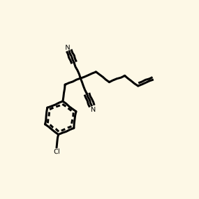 C=CCCCC(C#N)(C#N)Cc1ccc(Cl)cc1